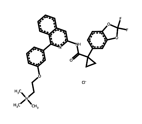 C[N+](C)(C)CCOc1cccc(-c2nc(NC(=O)C3(c4ccc5c(c4)OC(F)(F)O5)CC3)cc3ccccc23)c1.[Cl-]